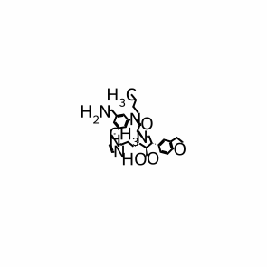 CCCCN(C(=O)CN1C[C@H](c2ccc3c(c2)CCO3)[C@@H](C(=O)O)[C@@H]1CCc1nccn1C)c1cccc(CN)c1